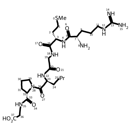 CSCC[C@H](NC(=O)[C@@H](N)CCCNC(=N)N)C(=O)NCC(=O)N[C@@H](CC(C)C)C(=O)N1CCC[C@H]1C(=O)NCC(=O)O